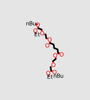 CCCCOC(COCCOC(=O)CCCC(=O)OCCOCC(OCC)OCCCC)OCC